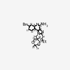 CCOCc1nc2c(N)nc3cc(Br)ccc3c2n1CC1(C)COC(C)(C)OC1